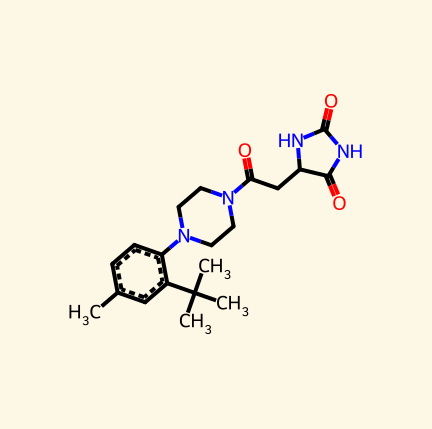 Cc1ccc(N2CCN(C(=O)CC3NC(=O)NC3=O)CC2)c(C(C)(C)C)c1